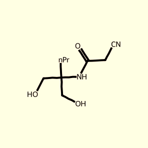 CCCC(CO)(CO)NC(=O)CC#N